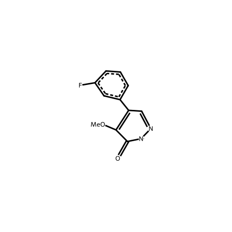 COC1=C(c2cccc(F)c2)C=N[N]C1=O